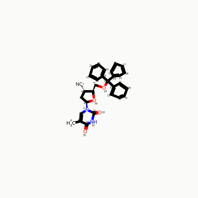 Cc1cn([C@H]2C[C@H](C#N)[C@@H](COC(c3ccccc3)(c3ccccc3)c3ccccc3)O2)c(=O)[nH]c1=O